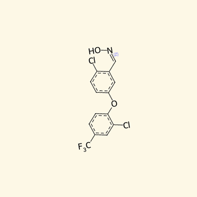 O/N=C\c1cc(Oc2ccc(C(F)(F)F)cc2Cl)ccc1Cl